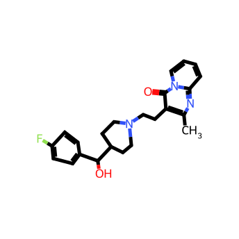 Cc1nc2ccccn2c(=O)c1CCN1CCC(C(O)c2ccc(F)cc2)CC1